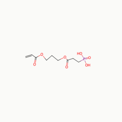 C=CC(=O)OCCCOC(=O)CCP(=O)(O)O